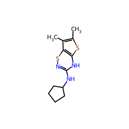 Cc1sc2c(c1C)SN=C(NC1CCCC1)N2